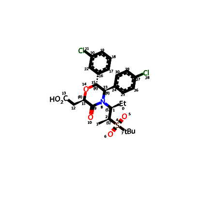 CC[C@@H]([C@H](C)S(=O)(=O)C(C)(C)C)N1C(=O)[C@@H](CC(=O)O)O[C@H](c2cccc(Cl)c2)[C@H]1c1ccc(Cl)cc1